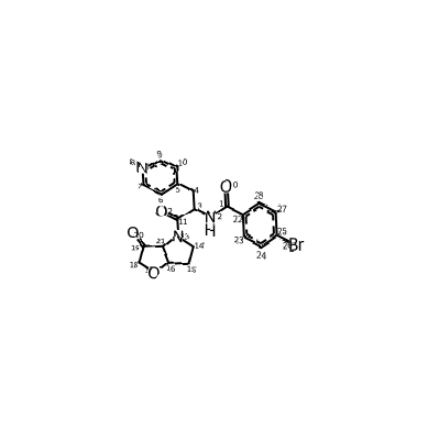 O=C(NC(Cc1ccncc1)C(=O)N1CCC2OCC(=O)C21)c1ccc(Br)cc1